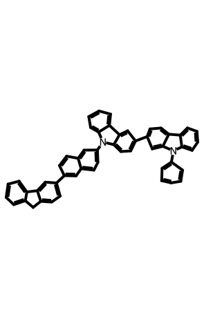 c1ccc(-n2c3ccccc3c3ccc(-c4ccc5c(c4)c4ccccc4n5-c4ccc5cc(-c6ccc7c(c6)-c6ccccc6C7)ccc5c4)cc32)cc1